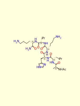 CC(=O)N[C@@H](C)C(=O)N[C@@H](CC(C)C)C(=O)N[C@@H](Cc1c[nH]cn1)C(=O)N[C@@H](CCCCN)C(=O)N[C@H](C(=O)N[C@@H](CCCCN)C(N)=O)C(C)C